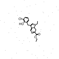 CCOC(=O)C1=NC=C2C(Cc3cccc(Cl)c3O)=CN(CC)C2C1